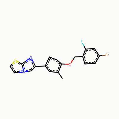 Cc1cc(-c2cn3ccsc3n2)ccc1OCc1ccc(Br)cc1F